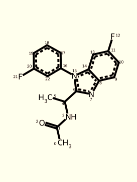 CC(=O)NC(C)c1nc2ccc(F)cc2n1-c1cccc(F)c1